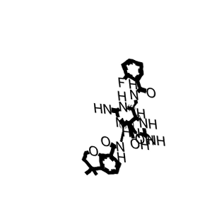 CC1(C)CCOc2c(C(=O)N[C@H]3CN4C(=N)N[C@@H](CNC(=O)c5ccccc5F)[C@@H]5NC(=N)N[C@@]54C3(O)O)cccc21